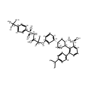 CC(C)c1ccc(-c2cccc([SH](=O)=O)c2C2CC[C@@H](c3cccc(OC(C)(C)C(=O)NS(=O)(=O)c4ccc(C(F)(F)F)cc4)c3)CN2)cc1